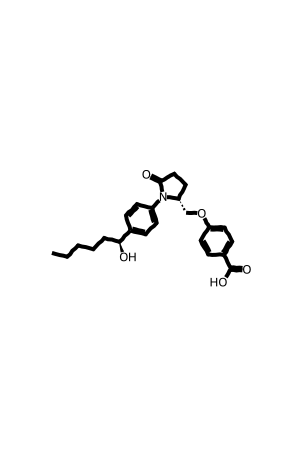 CCCCC[C@H](O)c1ccc(N2C(=O)CC[C@@H]2COc2ccc(C(=O)O)cc2)cc1